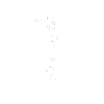 Cc1ccc(CNCCCOc2ccc(-c3cn4cccc(C)c4n3)cc2)cc1